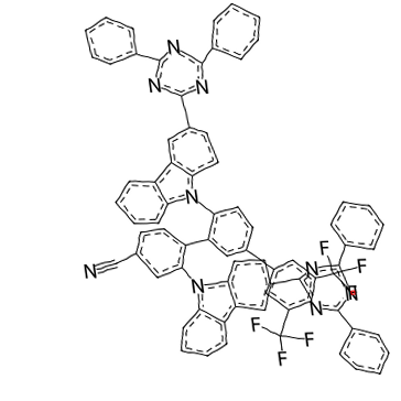 N#Cc1ccc(-c2cc(-c3cc(C(F)(F)F)cc(C(F)(F)F)c3)ccc2-n2c3ccccc3c3cc(-c4nc(-c5ccccc5)nc(-c5ccccc5)n4)ccc32)c(-n2c3ccccc3c3cc(-c4nc(-c5ccccc5)nc(-c5ccccc5)n4)ccc32)c1